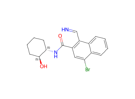 N=Cc1c(C(=O)N[C@H]2CCCC[C@@H]2O)cc(Br)c2ccccc12